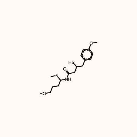 COc1ccc(CC(S)CC(=O)NC(CCCO)SC)cc1